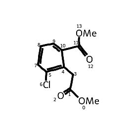 COC(=O)Cc1c(Cl)cccc1C(=O)OC